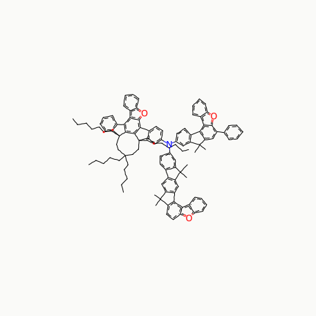 CCCCCCCC12CCC(CCCCC)(CCCCC)CCC3(CCCCCCC)c4ccccc4-c4c3c1c(c1oc3ccccc3c41)-c1ccc(N(c3ccc4c(c3)C(C)(C)c3cc5c(cc3-4)C(C)(C)c3ccc4oc6ccccc6c4c3-5)c3ccc4c(c3)C(C)(C)c3cc(-c5ccccc5)c5oc6ccccc6c5c3-4)cc12